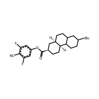 CCCCC1CCC2C(CC[C@@H]3C[C@H](C(=O)Oc4cc(F)c(C#N)c(F)c4)CC[C@H]23)C1